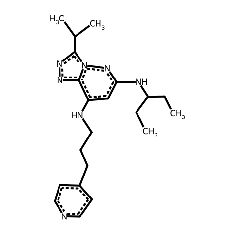 CCC(CC)Nc1cc(NCCCc2ccncc2)c2nnc(C(C)C)n2n1